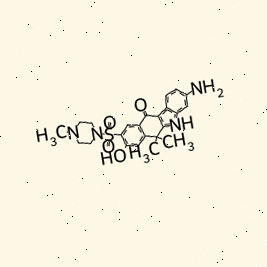 CN1CCN(S(=O)(=O)c2cc3c(cc2O)C(C)(C)c2[nH]c4cc(N)ccc4c2C3=O)CC1